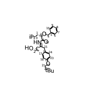 CC(C)C[C@H](OCc1ccccc1)C(=O)NC(Cc1ccc(OCC(C)(C)C)cc1)C(=O)O